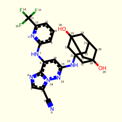 N#Cc1cnc2c(Nc3cccc(C(F)(F)F)n3)cc(NC34CC5CC(O)(CC(O)(C5)C3)C4)nn12